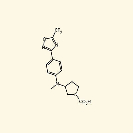 CN(c1ccc(-c2noc(C(F)(F)F)n2)cc1)C1CCN(C(=O)O)C1